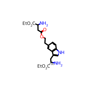 CCOC(=O)C(N)CC(=O)OCCc1ccc2[nH]cc(C[C@H](N)C(=O)OCC)c2c1